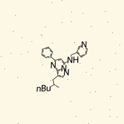 CCCCC(C)Cc1cnn2c(NCc3cccnc3)cc(-c3ccccc3)nc12